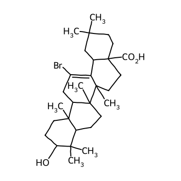 CC1(C)CCC2(C(=O)O)CCC3(C)C(=C(Br)CC4C5(C)CCC(O)C(C)(C)C5CCC43C)C2C1